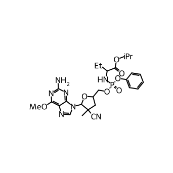 CCC(NP(=O)(OCC1CC(C)(C#N)C(n2cnc3c(OC)nc(N)nc32)O1)Oc1ccccc1)C(=O)OC(C)C